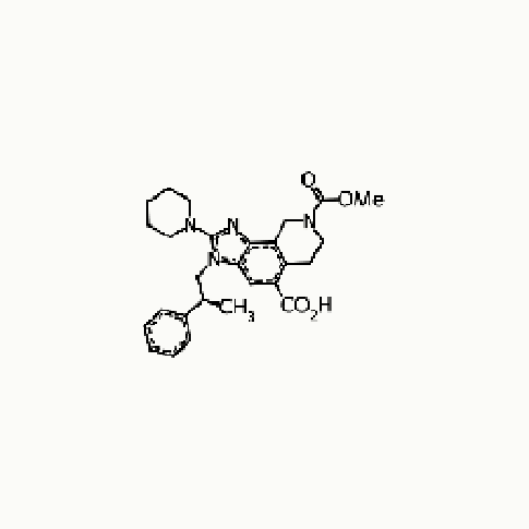 COC(=O)N1CCc2c(C(=O)O)cc3c(nc(N4CCCCC4)n3C[C@@H](C)c3ccccc3)c2C1